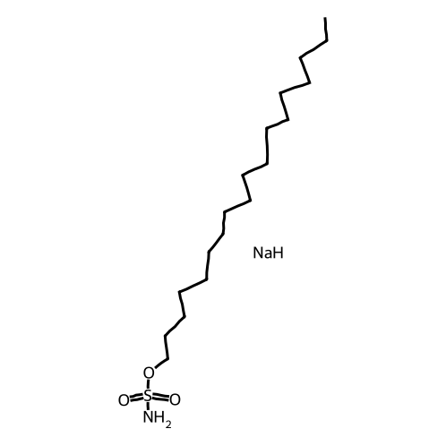 CCCCCCCCCCCCCCCCCCOS(N)(=O)=O.[NaH]